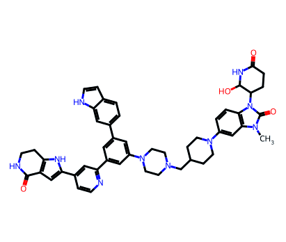 Cn1c(=O)n(C2CCC(=O)NC2O)c2ccc(N3CCC(CN4CCN(c5cc(-c6ccc7cc[nH]c7c6)cc(-c6cc(-c7cc8c([nH]7)CCNC8=O)ccn6)c5)CC4)CC3)cc21